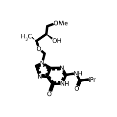 COC[C@@H](O)[C@@H](C)OCn1cnc2c(=O)[nH]c(NC(=O)C(C)C)nc21